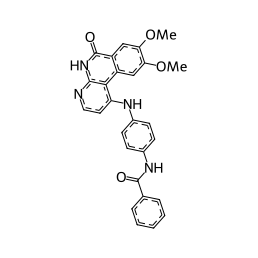 COc1cc2c(=O)[nH]c3nccc(Nc4ccc(NC(=O)c5ccccc5)cc4)c3c2cc1OC